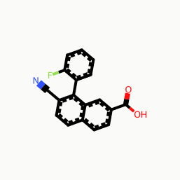 N#Cc1ccc2ccc(C(=O)O)cc2c1-c1ccccc1F